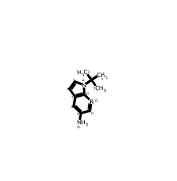 CC(C)(C)n1ccc2cc(N)cnc21